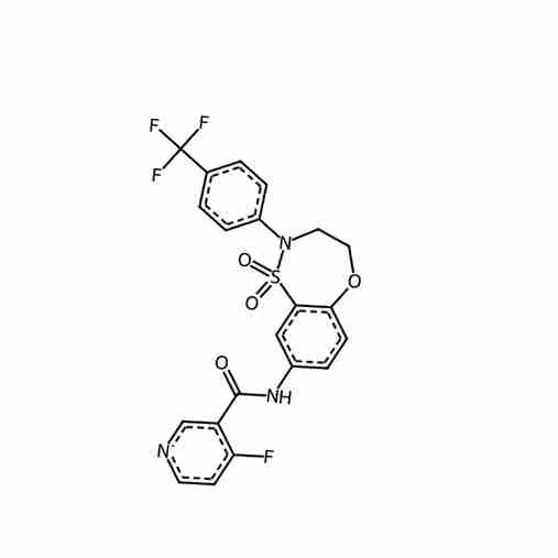 O=C(Nc1ccc2c(c1)S(=O)(=O)N(c1ccc(C(F)(F)F)cc1)CCO2)c1cnccc1F